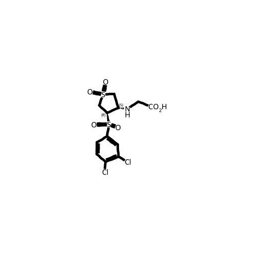 O=C(O)CN[C@H]1CS(=O)(=O)C[C@@H]1S(=O)(=O)c1ccc(Cl)c(Cl)c1